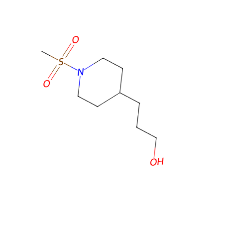 CS(=O)(=O)N1CCC(CCCO)CC1